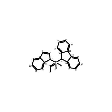 C[CH]=[Ti]([CH3])([CH3])([CH]1C=Cc2ccccc21)[CH]1c2ccccc2-c2ccccc21